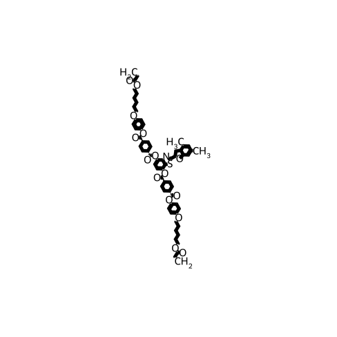 C=CC(=O)OCCCCCCOC1=CC=C(OC(=O)[C@H]2CC[C@H](C(=O)OC3=CC=C(OC(=O)[C@H]4CC[C@H](C(=O)Oc5ccc(OCCCCCCOC(=O)C=C)cc5)CC4)C4N=C(C5CC6C(C)=CC(C)=CC6O5)SC34)CC2)CC1